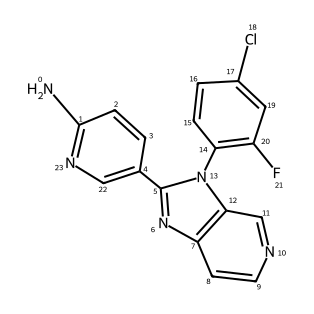 Nc1ccc(-c2nc3ccncc3n2-c2ccc(Cl)cc2F)cn1